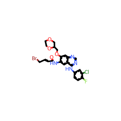 O=C(C=CCBr)Nc1cc2c(Nc3ccc(F)c(Cl)c3)ncnc2cc1OCC1COCCO1